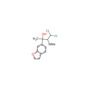 CNC(C(Cl)Cl)C(C)(O)c1ccc2ccoc2c1